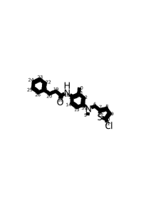 Cc1cc(N(C)Cc2ccc(Cl)s2)ccc1NC(=O)CCc1ccccc1